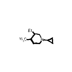 CCC1CN(C2CC2)CCC1C